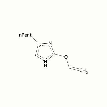 C=COc1nc(CCCCC)c[nH]1